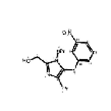 CCCn1c(CO)nc(C(C)C)c1Sc1cccc([N+](=O)[O-])c1